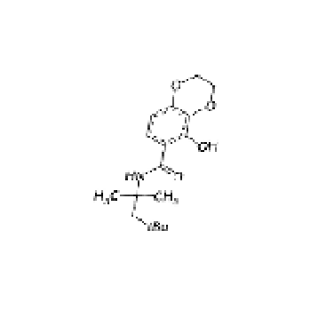 CC(C)(C)CC(C)(C)NC(=O)c1ccc2c(c1O)OCCO2